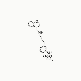 CS(=O)(=O)Nc1cccc(CCCCNCC2CCOc3ccccc32)c1